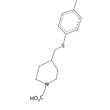 O=C(O)N1CCC(CSc2ccc(F)cc2)CC1